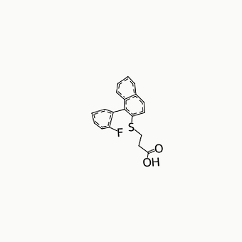 O=C(O)CCSc1ccc2ccccc2c1-c1ccccc1F